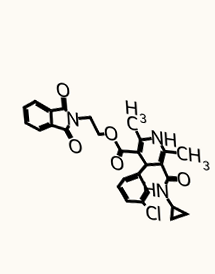 CC1=C(C(=O)NC2CC2)C(c2cccc(Cl)c2)C(C(=O)OCCN2C(=O)c3ccccc3C2=O)=C(C)N1